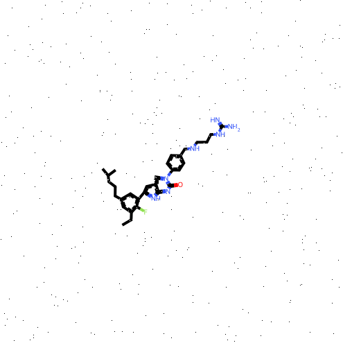 CCc1cc(CCCC(C)C)cc(-c2cc3cn(-c4ccc(CNCCCNC(=N)N)cc4)c(=O)nc3[nH]2)c1F